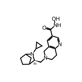 O=C(NO)c1cnc2c(c1)CN(C[C@H]1C3CCC(C3)N1C1CC1)CC2